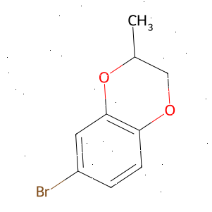 CC1COc2ccc(Br)cc2O1